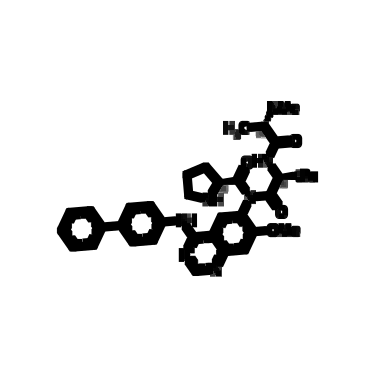 CN[C@@H](C)C(=O)N[C@H](C(=O)N(C(=O)[C@@H]1CCCN1)c1cc2c(Nc3ccc(-c4ccccc4)cc3)ncnc2cc1OC)C(C)(C)C